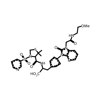 COCCNC(=O)Cn1c(=O)n(-c2ccc(CC(NC(=O)C3N(S(=O)(=O)c4cccnc4)CSC3(C)C)C(=O)O)cc2)c2ncccc21